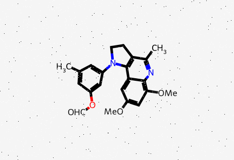 COc1cc(OC)c2nc(C)c3c(c2c1)N(c1cc(C)cc(OC=O)c1)CC3